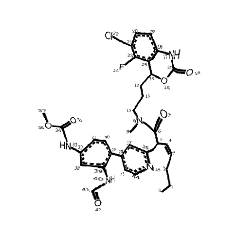 CCC/C=C\C(C(=O)N(C)CCCC1OC(=O)Nc2ccc(Cl)c(F)c21)c1cc(-c2ccc(NC(=O)OC)cc2NC=O)ccn1